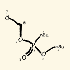 CCCCOP(=O)(CCCC)OCCl